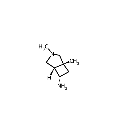 CN1C[C@H]2[C@@H](N)C[C@@]2(C)C1